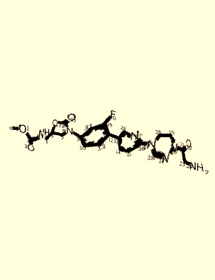 COC(=O)NCC1CN(c2ccc(-c3ccc(N4C=NN(C(=O)CN)CC4)nc3)c(F)c2)C(=O)O1